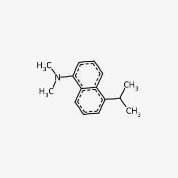 CC(C)c1cccc2c(N(C)C)cccc12